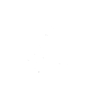 CC(=N)c1c(N)nc(-c2ccc(NSc3cc(Cl)ccc3F)cc2)nc1OC1CCN(C)CC1F